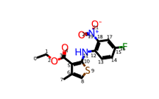 CCOC(=O)c1c(C)csc1Nc1ccc(F)cc1[N+](=O)[O-]